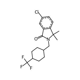 CC1(C)c2ccc(Cl)cc2C(=O)N1CC1CCC(C(F)(F)F)CC1